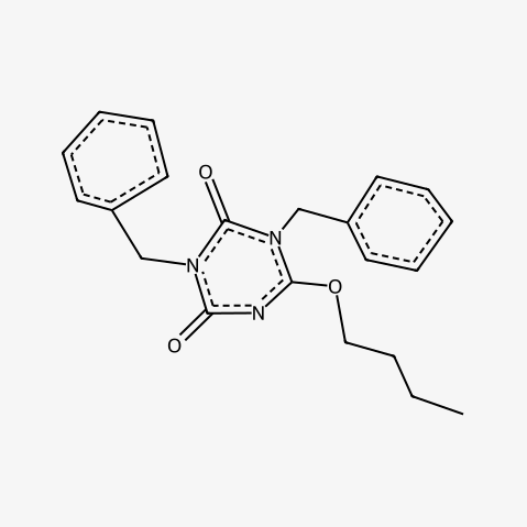 CCCCOc1nc(=O)n(Cc2ccccc2)c(=O)n1Cc1ccccc1